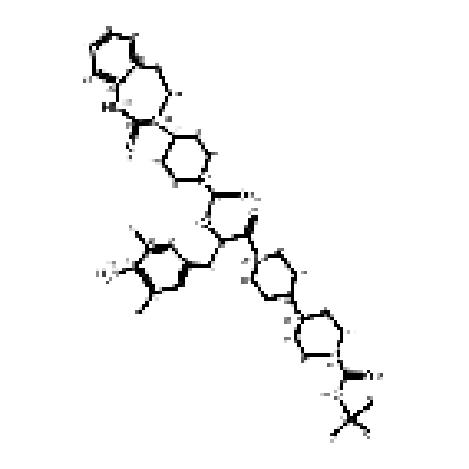 Cc1cc(C[C@@H](OC(=O)N2CCC(N3CCc4ccccc4NC3=O)CC2)C(=O)N2CCC(N3CCN(C(=O)OC(C)(C)C)CC3)CC2)cc(C)c1N